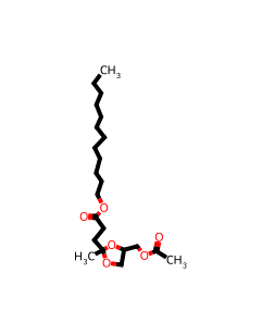 CCCCCCCCCCCCOC(=O)CCC1(C)OCC(COC(C)=O)O1